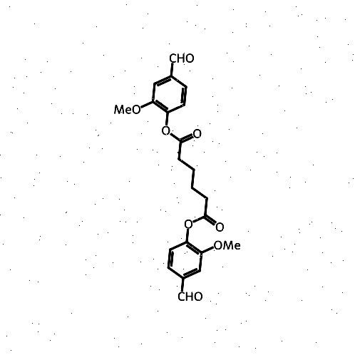 COc1cc(C=O)ccc1OC(=O)CCCCC(=O)Oc1ccc(C=O)cc1OC